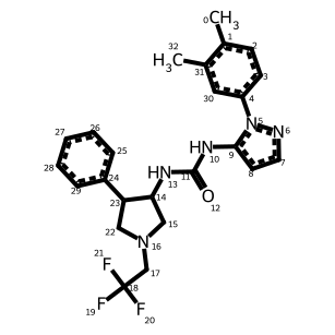 Cc1ccc(-n2nccc2NC(=O)NC2CN(CC(F)(F)F)CC2c2ccccc2)cc1C